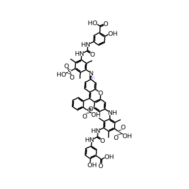 Cc1c(/N=c2\ccc3c(-c4ccccc4S(=O)(=O)O)c4ccc(Nc5c(C)c(NC(=O)Nc6ccc(O)c(C(=O)O)c6)c(C)c(S(=O)(=O)O)c5C)cc4oc-3c2)c(C)c(S(=O)(=O)O)c(C)c1NC(=O)Nc1ccc(O)c(C(=O)O)c1